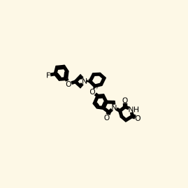 O=C1CCC(N2Cc3cc(O[C@@H]4CCCC[C@@H]4N4CC(Oc5cccc(F)c5)C4)ccc3C2=O)C(=O)N1